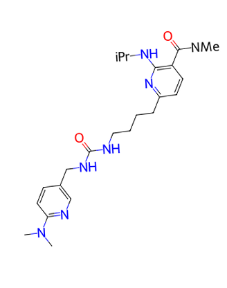 CNC(=O)c1ccc(CCCCNC(=O)NCc2ccc(N(C)C)nc2)nc1NC(C)C